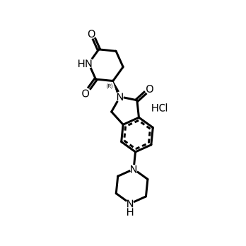 Cl.O=C1CC[C@@H](N2Cc3cc(N4CCNCC4)ccc3C2=O)C(=O)N1